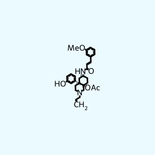 C=CCN1CC[C@@]2(c3cccc(O)c3)C[C@H](NC(=O)C=Cc3cccc(OC)c3)CC[C@]2(OC(C)=O)C1